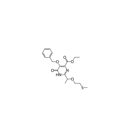 CCOC(=O)c1nc(C(C)OCCSC)[nH]c(=O)c1OCc1ccccc1